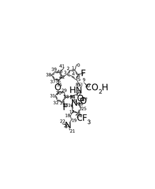 Cc1cc2cc(c1F)[C@H](CC(=O)O)NC(=O)[C@H](n1cc(CCN(C)C)c(C(F)(F)F)cc1=O)c1cc(ccc1F)Oc1cccc(C)c1-2